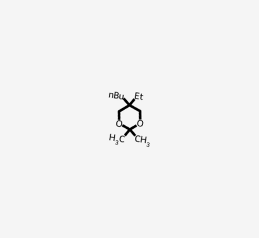 CCCCC1(CC)COC(C)(C)OC1